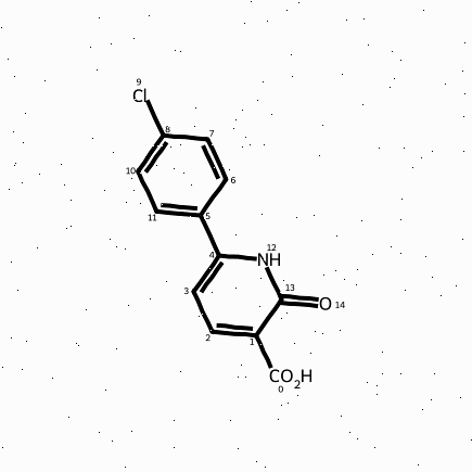 O=C(O)c1ccc(-c2ccc(Cl)cc2)[nH]c1=O